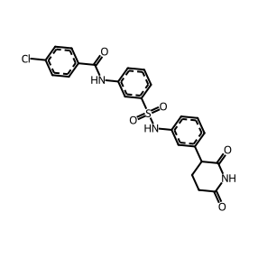 O=C1CCC(c2cccc(NS(=O)(=O)c3cccc(NC(=O)c4ccc(Cl)cc4)c3)c2)C(=O)N1